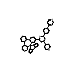 c1ccc2c(c1)-c1ccccc1C1(c3cc(-c4nc(-c5ccncc5)cc(-c5ccc(-c6ccncc6)cc5)n4)ccc3-2)c2ccccc2-c2ccccc21